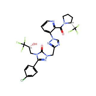 O=C(c1ncccc1-n1cnc(Cn2nc(-c3ccc(Cl)cc3)n(C[C@@H](O)C(F)(F)F)c2=O)n1)N1CCC[C@@H]1C(F)(F)F